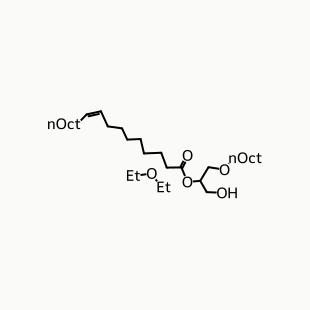 CCCCCCCC/C=C\CCCCCCCC(=O)OC(CO)COCCCCCCCC.CCOCC